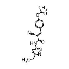 CCc1nnc(NC(=O)/C(C#N)=C/c2ccc(OC(C)=O)cc2)s1